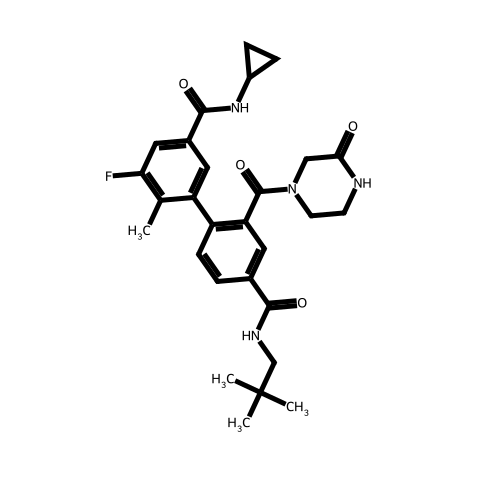 Cc1c(F)cc(C(=O)NC2CC2)cc1-c1ccc(C(=O)NCC(C)(C)C)cc1C(=O)N1CCNC(=O)C1